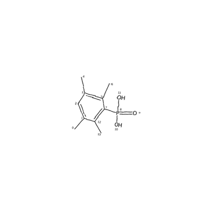 Cc1cc(C)c(C)c(P(=O)(O)O)c1C